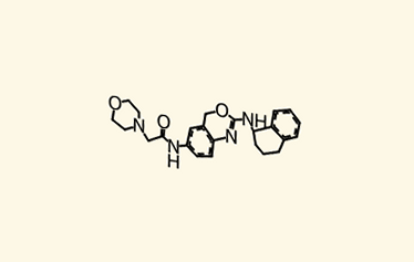 O=C(CN1CCOCC1)Nc1ccc2c(c1)COC(NC1CCCc3ccccc31)=N2